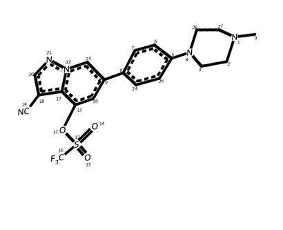 CN1CCN(c2ccc(-c3cc(OS(=O)(=O)C(F)(F)F)c4c(C#N)cnn4c3)cc2)CC1